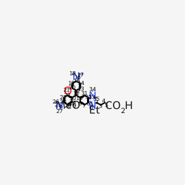 CCN(CCCC(=O)O)c1cc(OC)c(-c2c3ccc(=[N+](C)C)cc-3oc3cc(N(C)C)ccc23)cc1N(C)C